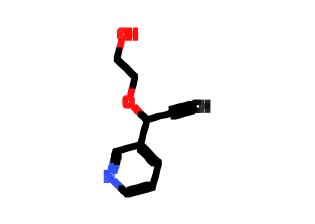 C#CC(OCCO)c1cccnc1